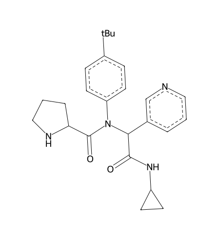 CC(C)(C)c1ccc(N(C(=O)C2CCCN2)C(C(=O)NC2CC2)c2cccnc2)cc1